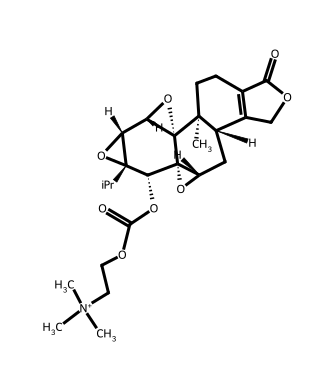 CC(C)[C@@]12O[C@@H]1[C@@H]1O[C@]13[C@]1(O[C@H]1C[C@H]1C4=C(CC[C@@]13C)C(=O)OC4)[C@@H]2OC(=O)OCC[N+](C)(C)C